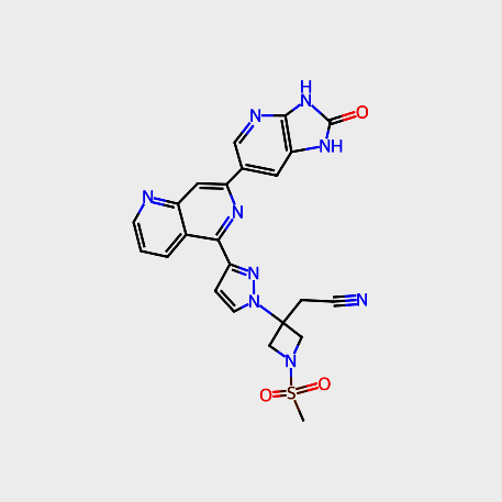 CS(=O)(=O)N1CC(CC#N)(n2ccc(-c3nc(-c4cnc5[nH]c(=O)[nH]c5c4)cc4ncccc34)n2)C1